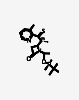 Cc1cccnc1C(=S)[C@H](C)C1CC(=O)N1C(C)O[Si](C)(C)C(C)(C)C